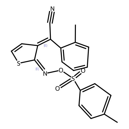 Cc1ccc(S(=O)(=O)O/N=C2/SC=C/C2=C(\C#N)c2ccccc2C)cc1